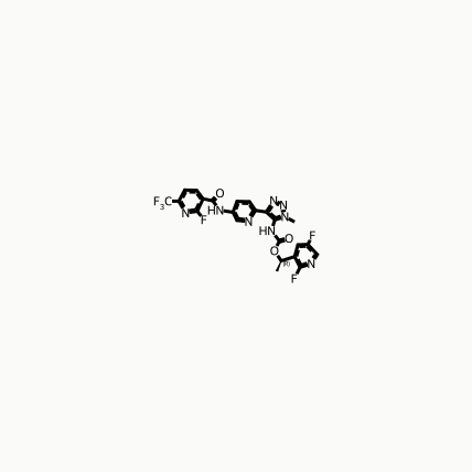 C[C@@H](OC(=O)Nc1c(-c2ccc(NC(=O)c3ccc(C(F)(F)F)nc3F)cn2)nnn1C)c1cc(F)cnc1F